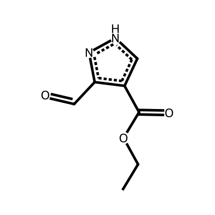 CCOC(=O)c1c[nH]nc1C=O